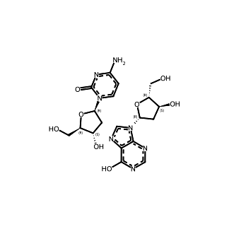 Nc1ccn([C@H]2C[C@H](O)[C@@H](CO)O2)c(=O)n1.OC[C@H]1O[C@@H](n2cnc3c(O)ncnc32)C[C@@H]1O